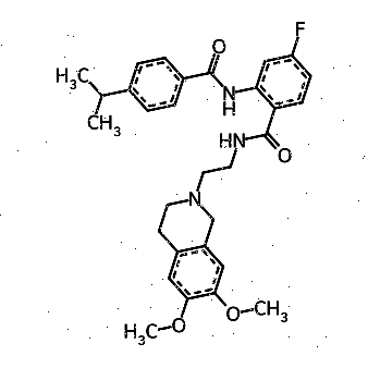 COc1cc2c(cc1OC)CN(CCNC(=O)c1ccc(F)cc1NC(=O)c1ccc(C(C)C)cc1)CC2